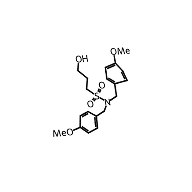 COc1ccc(CN(Cc2ccc(OC)cc2)S(=O)(=O)CCCO)cc1